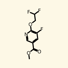 COC(=O)c1cnc(OCC(F)F)c(F)c1